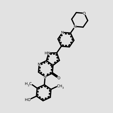 Cc1ccc(O)c(C)c1-n1cnc2[nH]c(-c3ccc(N4CCOCC4)nc3)cc2c1=O